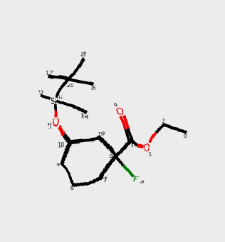 CCOC(=O)C1(F)CCCC(O[Si](C)(C)C(C)(C)C)C1